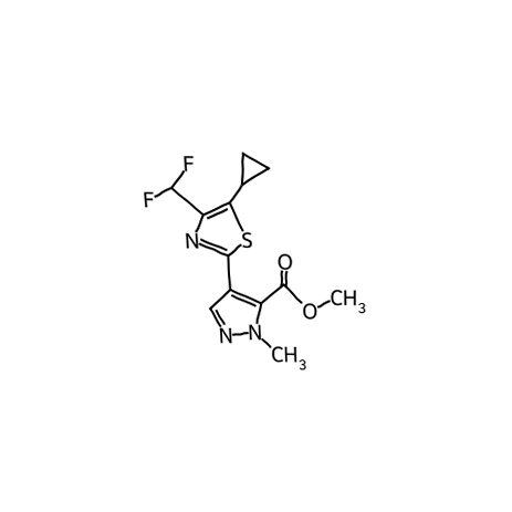 COC(=O)c1c(-c2nc(C(F)F)c(C3CC3)s2)cnn1C